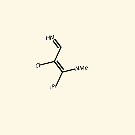 CN/C(=C(/Cl)C=N)C(C)C